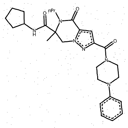 CCCN1C(=O)c2cc(C(=O)N3CCN(c4ccccc4)CC3)nn2CC1(C)C(=O)NC1CCCC1